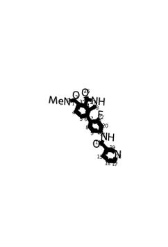 CNC(=O)c1ccc(-c2ccc(NC(=O)c3cccnc3)cc2F)c2c1C(=O)NC2